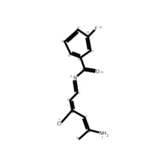 C\C(N)=C/C(Cl)=C\C=N\C(=O)c1cccc(F)c1